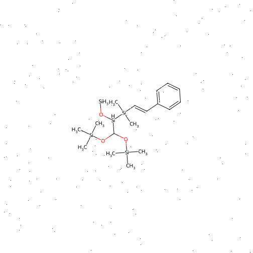 C[Si](C)(C)OC(O[Si](C)(C)C)[SiH](O[SiH3])[Si](C)(C)C=Cc1ccccc1